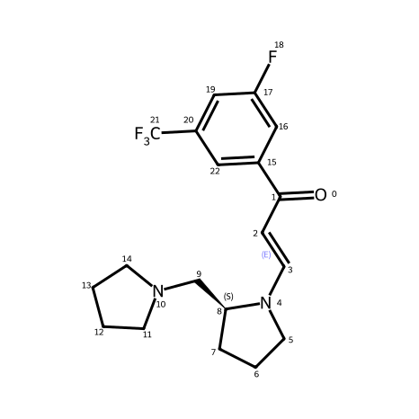 O=C(/C=C/N1CCC[C@H]1CN1CCCC1)c1cc(F)cc(C(F)(F)F)c1